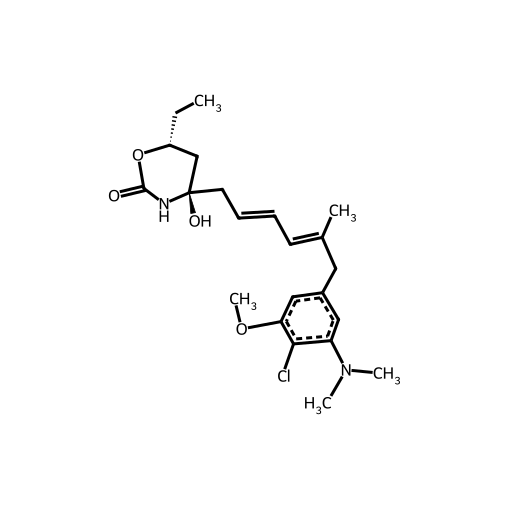 CC[C@@H]1C[C@](O)(C/C=C/C=C(\C)Cc2cc(OC)c(Cl)c(N(C)C)c2)NC(=O)O1